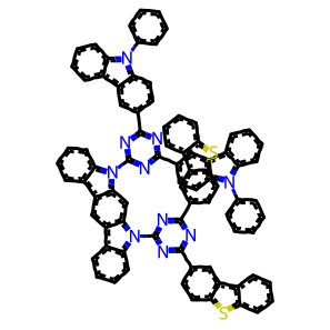 c1ccc(-n2c3ccccc3c3cc(-c4nc(-c5ccc6c(c5)c5ccccc5n6-c5ccccc5)nc(-n5c6ccccc6c6cc7c8ccccc8n(-c8nc(-c9ccc%10sc%11ccccc%11c%10c9)nc(-c9ccc%10sc%11ccccc%11c%10c9)n8)c7cc65)n4)ccc32)cc1